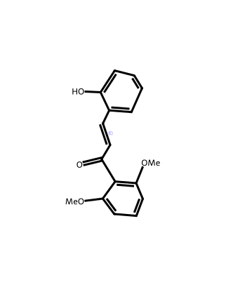 COc1cccc(OC)c1C(=O)/C=C/c1ccccc1O